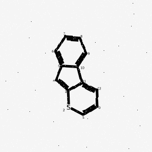 c1csc2cc3ccccc3c-2c1